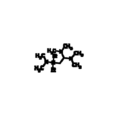 CC[Si](CC)(CC(N(C)C)N(C)C)N(C)C